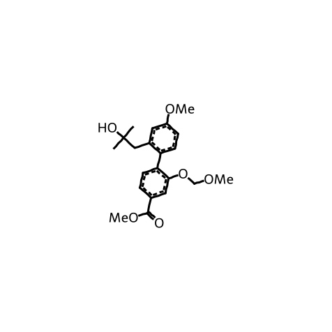 COCOc1cc(C(=O)OC)ccc1-c1ccc(OC)cc1CC(C)(C)O